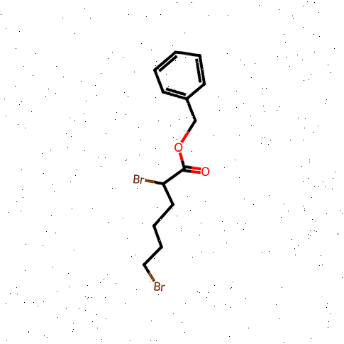 O=C(OCc1ccccc1)C(Br)CCCCBr